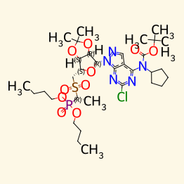 CCCCOP(=O)(OCCCC)[C@@H](C)S(=O)(=O)C[C@H]1O[C@@H](n2ncc3c(N(C(=O)OC(C)(C)C)C4CCCC4)nc(Cl)nc32)[C@@H]2OC(C)(C)O[C@@H]21